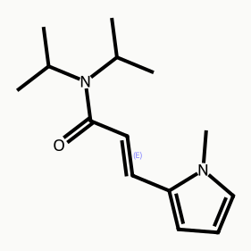 CC(C)N(C(=O)/C=C/c1cccn1C)C(C)C